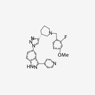 COc1ccc(CN2CCC[C@@H](c3cn(-c4ccc5[nH]nc(-c6ccncc6)c5c4)nn3)C2)c(F)c1